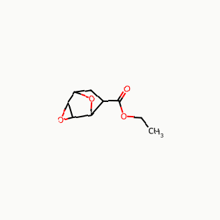 CCOC(=O)C1CC2OC1C1OC21